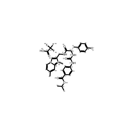 Cc1ccn2cc(CNC(=O)[C@H](Cc3ccc([O-])cc3)NC(=O)Nc3ccc(C(=O)OC(C)C)cc3)[n+](C)c2c1.O=C(O)C(F)(F)F